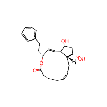 O=C1CCC/C=C\C[C@@H]2C(/C=C/[C@@H](CCc3ccccc3)O1)[C@H](O)C[C@@H]2O